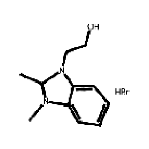 Br.CC1N(C)c2ccccc2N1CCO